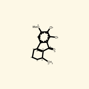 COc1cc2c(c(Cl)c1Cl)C(=O)C1=C2CCCC1C